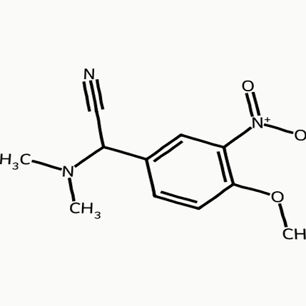 COc1ccc(C(C#N)N(C)C)cc1[N+](=O)[O-]